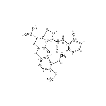 COc1ccc(CN(CCC(=O)O)C(=O)[C@@H]2OCO[C@H]2C(=O)Nc2ccccc2Cl)cc1OC